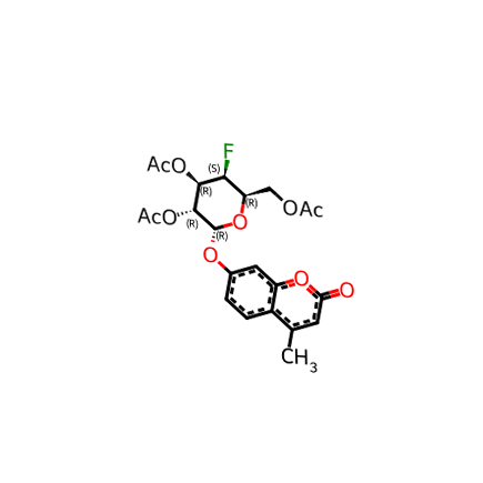 CC(=O)OC[C@H]1O[C@H](Oc2ccc3c(C)cc(=O)oc3c2)[C@H](OC(C)=O)[C@@H](OC(C)=O)[C@H]1F